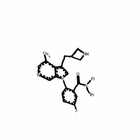 CCN(C(=O)c1cc(F)ccc1-n1cc(CC2CNC2)c2c(C)cncc21)C(C)C